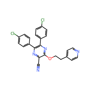 N#Cc1nc(-c2ccc(Cl)cc2)c(-c2ccc(Cl)cc2)nc1OCCc1ccncc1